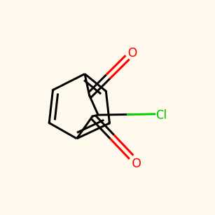 O=C1c2ccc(cc2)C(=O)C1Cl